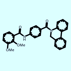 COc1cccc(C(=O)Nc2ccc(C(=O)N3Cc4ccccc4-c4ccccc43)cc2)c1OC